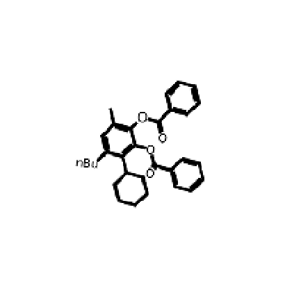 CCCCc1cc(C)c(OC(=O)c2ccccc2)c(OC(=O)c2ccccc2)c1C1CCCCC1